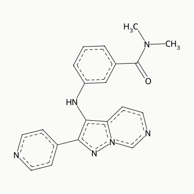 CN(C)C(=O)c1cccc(Nc2c(-c3ccncc3)nn3cnccc23)c1